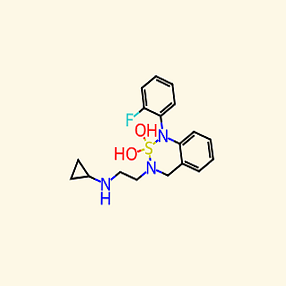 OS1(O)N(CCNC2CC2)Cc2ccccc2N1c1ccccc1F